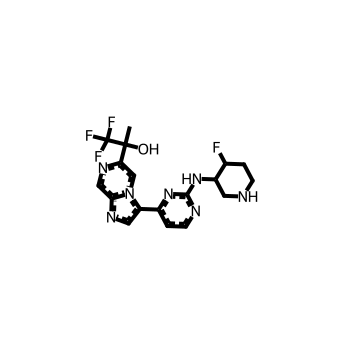 CC(O)(c1cn2c(-c3ccnc(NC4CNCCC4F)n3)cnc2cn1)C(F)(F)F